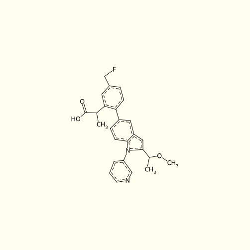 COC(C)c1cc2cc(-c3ccc(CF)cc3C(C)C(=O)O)ccc2n1-c1cccnc1